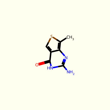 Cc1scc2c(=O)[nH]c(N)nc12